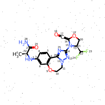 C[C@H](Nc1ccc2c(c1)OCCn1nc(N3C(=C=O)OC[C@H]3C(F)F)nc1-2)C(N)=O